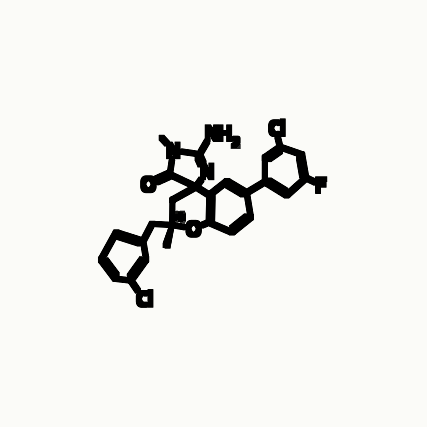 CN1C(=O)C2(C[C@@](C)(Cc3cccc(Cl)c3)Oc3ccc(-c4cc(F)cc(Cl)c4)cc32)N=C1N